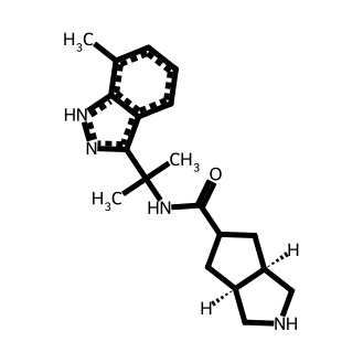 Cc1cccc2c(C(C)(C)NC(=O)C3C[C@H]4CNC[C@H]4C3)n[nH]c12